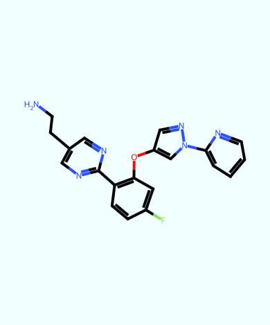 NCCc1cnc(-c2ccc(F)cc2Oc2cnn(-c3ccccn3)c2)nc1